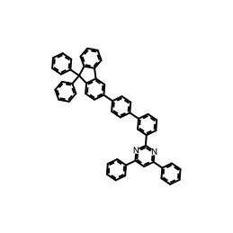 c1ccc(-c2cc(-c3ccccc3)nc(-c3cccc(-c4ccc(-c5ccc6c(c5)-c5ccccc5C6(c5ccccc5)c5ccccc5)cc4)c3)n2)cc1